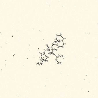 CC(C)CC(N)C(=O)N[C@H](CC1CCCC2CCCC[C@@H]21)C(=O)NCc1ccc(N)nc1